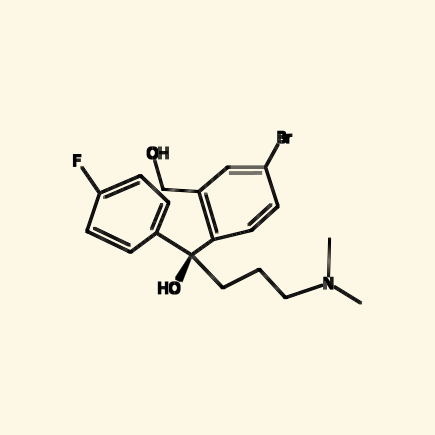 CN(C)CCC[C@](O)(c1ccc(F)cc1)c1ccc(Br)cc1CO